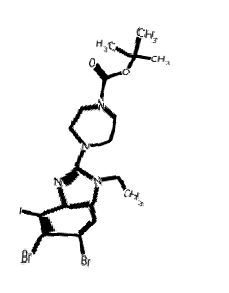 CCn1c(N2CCN(C(=O)OC(C)(C)C)CC2)nc2c(I)c(Br)c(Br)cc21